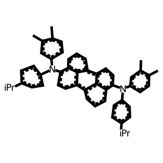 Cc1ccc(N(c2ccc(C(C)C)cc2)c2ccc3c4cccc5c(N(c6ccc(C(C)C)cc6)c6ccc(C)c(C)c6)ccc(c6cccc2c63)c54)cc1C